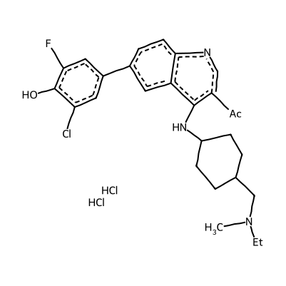 CCN(C)CC1CCC(Nc2c(C(C)=O)cnc3ccc(-c4cc(F)c(O)c(Cl)c4)cc23)CC1.Cl.Cl